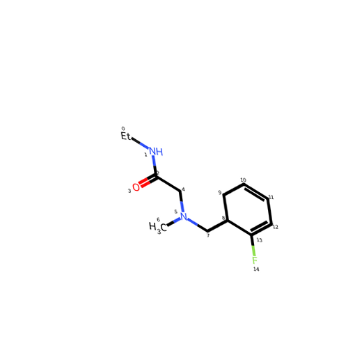 CCNC(=O)CN(C)CC1CC=CC=C1F